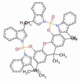 C=C(C)c1cc(OP(=O)(n2cc(C)c3ccccc32)n2cc(C)c3ccccc32)c2c(c1)C(C)(C)c1cc(C(C)(C)C)cc(OP(=O)(n3cc(C)c4ccccc43)n3cc(C)c4ccccc43)c1O2